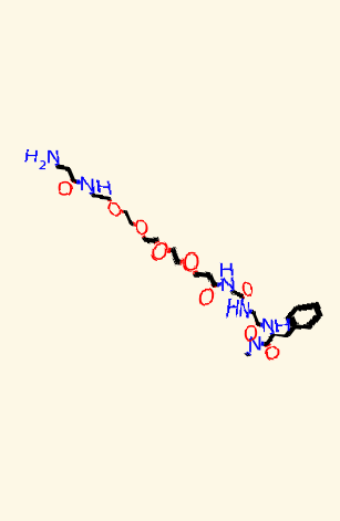 C=NC(=O)[C@H](Cc1ccccc1)NC(=O)CNC(=O)CNC(=O)CCOCCOCCOCCOCCNC(=O)CCN